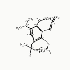 C=C=Cc1c(CC)c(C(C)(C)I)cc(C(C)C)c1OC